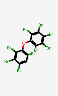 Brc1cc(Br)c(Oc2c(Br)c(Br)c(Br)c(Br)c2Br)c(Br)c1Br